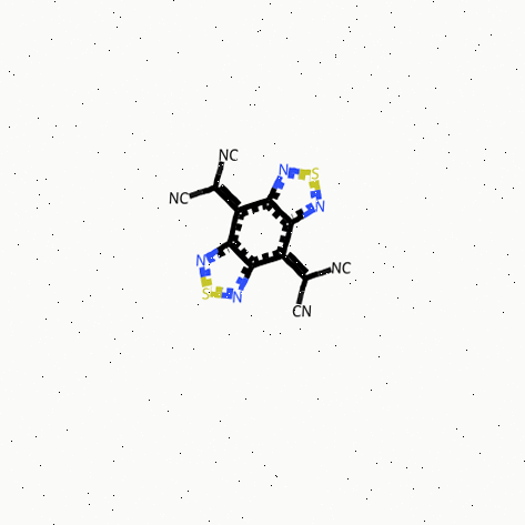 [C-]#[N+]C(C#N)=c1c2nsnc2c(=C(C#N)[N+]#[C-])c2nsnc12